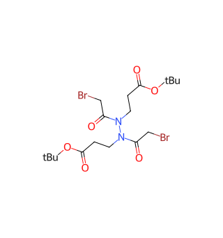 CC(C)(C)OC(=O)CCN(C(=O)CBr)N(CCC(=O)OC(C)(C)C)C(=O)CBr